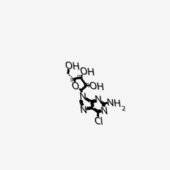 Nc1nc(Cl)c2ncn(C3O[C@H](CO)[C@@H](O)[C@H]3O)c2n1